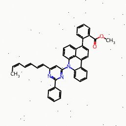 C\C=C/C=C/C=C/c1cc(N2c3ccccc3-c3ccc(-c4ccccc4C(=O)OC)c4cccc2c34)nc(-c2ccccc2)n1